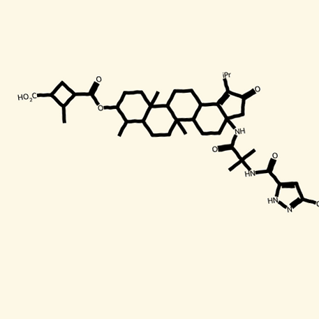 CC(C)C1=C2C3CCC4C(C)(CCC5C(C)C(OC(=O)C6CC(C(=O)O)C6C)CCC54C)C3CCC2(NC(=O)C(C)(C)NC(=O)c2cc(C(F)(F)F)n[nH]2)CC1=O